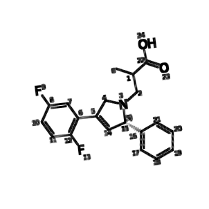 CC(CN1CC(c2cc(F)ccc2F)=C[C@H]1c1ccccc1)C(=O)O